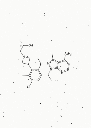 COc1c(C(C)n2nc(C)c3c([AsH2])ncnc32)cc(Cl)c(C)c1C1CN(C[C@H](C)O)C1